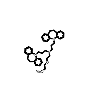 COCCOCCN(CCCN1c2ccccc2CCc2ccccc21)CCCN1c2ccccc2CCc2ccccc21